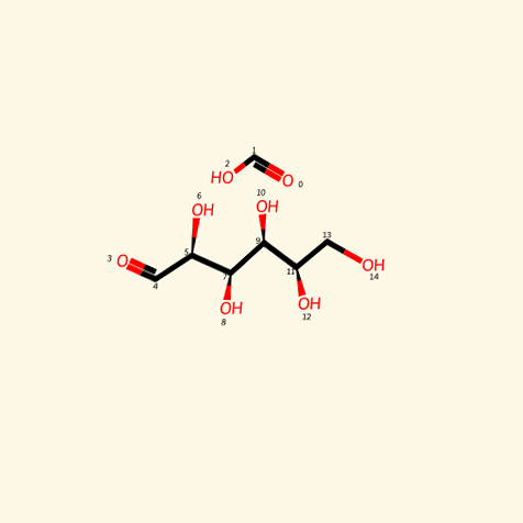 O=CO.O=C[C@@H](O)[C@H](O)[C@@H](O)[C@H](O)CO